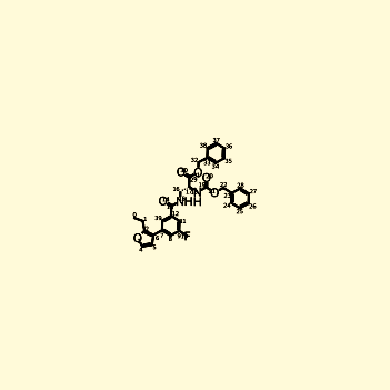 CCc1occc1-c1cc(F)cc(C(=O)NC[C@@H](NC(=O)OCc2ccccc2)C(=O)OCc2ccccc2)c1